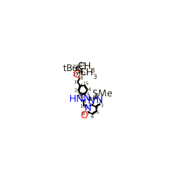 CSc1ncc2ccc(=O)n(Cc3nc4ccc(CCO[Si](C)(C)C(C)(C)C)cc4[nH]3)c2n1